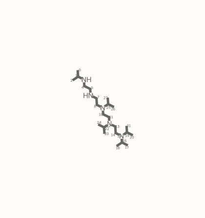 CC(C)NCCNCCN(CCN(CCN(C(C)C)C(C)C)C(C)C)C(C)C